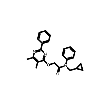 Cc1nc(-c2ccccc2)nc(OCC(=O)N(CC2CC2)c2ccccc2)c1C